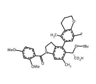 COc1ccc(C(=O)N2CCc3c2cc(C)c([C@H](OC(C)(C)C)C(=O)O)c3-c2cc(F)c3c(c2C)CCCO3)c(OC)c1